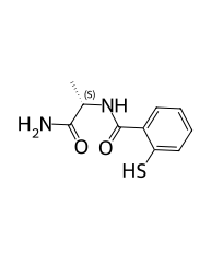 C[C@H](NC(=O)c1ccccc1S)C(N)=O